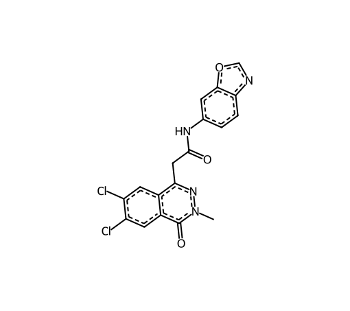 Cn1nc(CC(=O)Nc2ccc3ncoc3c2)c2cc(Cl)c(Cl)cc2c1=O